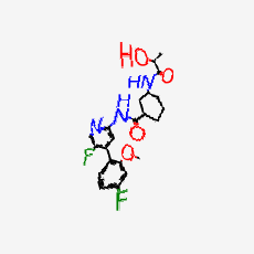 COc1cc(F)ccc1-c1cc(NC(=O)C2CCCC(NC(=O)[C@H](C)O)C2)ncc1F